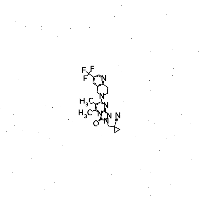 Cc1c(N2CCc3ncc(C(F)(F)F)cc3C2)nc2nn(CC3(C#N)CC3)c(=O)n2c1C